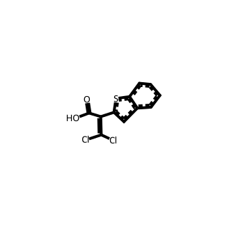 O=C(O)C(=C(Cl)Cl)c1cc2ccccc2s1